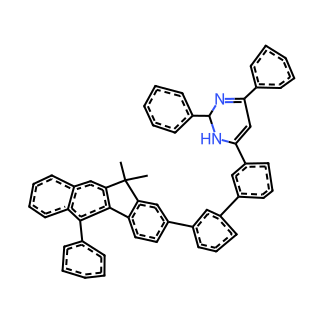 CC1(C)c2cc(-c3cccc(-c4cccc(C5=CC(c6ccccc6)=NC(c6ccccc6)N5)c4)c3)ccc2-c2c1cc1ccccc1c2-c1ccccc1